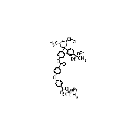 CCCC(C)(CC)OC(=O)c1ccc(Oc2ccc(C(=O)Oc3ccc(C4(c5ccc(C(C)(CC)CCC)cc5)CC(C)CC(C)C4)cc3)cc2)cc1